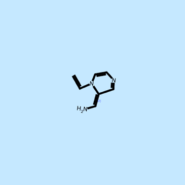 C=CN1C=CN=C/C1=C/N